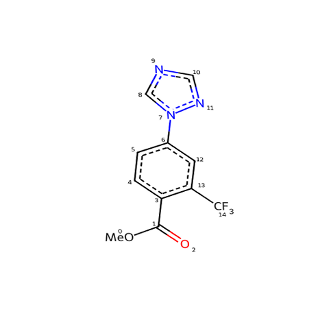 COC(=O)c1ccc(-n2cncn2)cc1C(F)(F)F